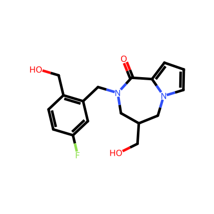 O=C1c2cccn2CC(CO)CN1Cc1cc(F)ccc1CO